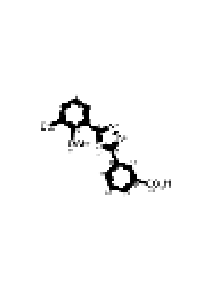 CCc1cccc(-c2nnc(-c3cccc(C(=O)O)c3)o2)c1OC